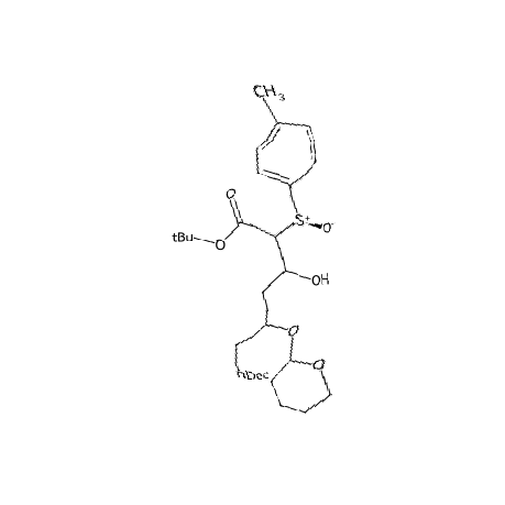 CCCCCCCCCCCC(CC(O)C(C(=O)OC(C)(C)C)[S@+]([O-])c1ccc(C)cc1)OC1CCCCO1